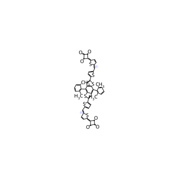 Cc1cccc(C)c1-c1c2cc(-c3ccc(/C=c4/ccc(=C5C(=O)C(=O)C5=O)s4)s3)sc2c(-c2c(C)cccc2C)c2cc(-c3ccc(/C=c4/ccc(=C5C(=O)C(=O)C5=O)s4)s3)sc12